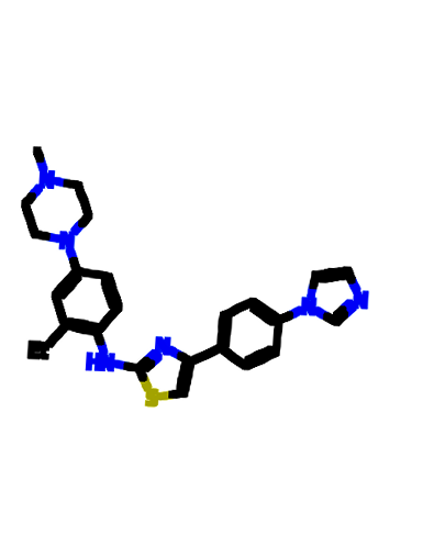 CCc1cc(N2CCN(C)CC2)ccc1Nc1nc(-c2ccc(-n3ccnc3)cc2)cs1